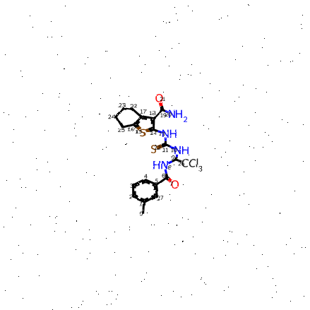 Cc1cccc(C(=O)NC(NC(=S)Nc2sc3c(c2C(N)=O)CCCC3)C(Cl)(Cl)Cl)c1